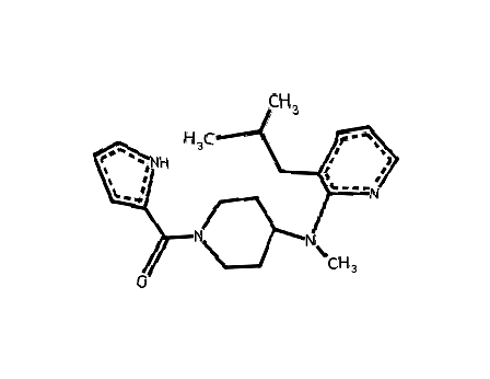 CC(C)Cc1cccnc1N(C)C1CCN(C(=O)c2ccc[nH]2)CC1